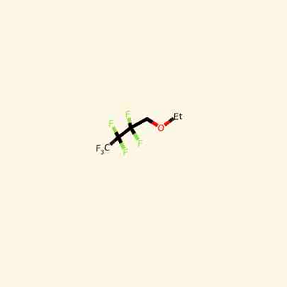 CCOCC(F)(F)C(F)(F)C(F)(F)F